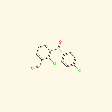 O=[C]c1cccc(C(=O)c2ccc(Cl)cc2)c1Cl